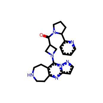 O=C(C1CN(c2c3c(nc4ccnn24)CCNCC3)C1)N1CCCC1c1ccccn1